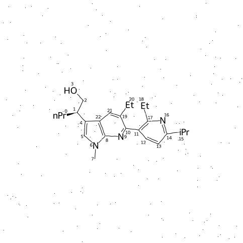 CCC[C@@H](CO)c1cn(C)c2nc(-c3ccc(C(C)C)nc3CC)c(CC)cc12